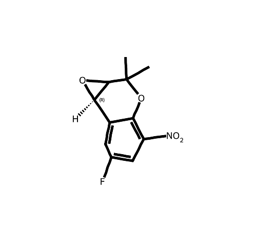 CC1(C)Oc2c(cc(F)cc2[N+](=O)[O-])[C@H]2OC21